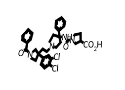 O=C(O)C1CCN(C(=O)NC2(c3ccccc3)CCN(CCC3(c4ccc(Cl)c(Cl)c4)CCN(C(=O)c4ccccc4)C3)CC2)C1